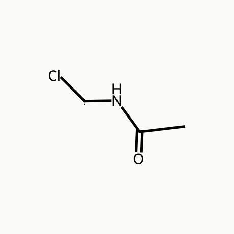 CC(=O)N[CH]Cl